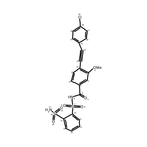 COc1cc(C(=O)NS(=O)(=O)c2ccccc2S(N)(=O)=O)ccc1C#Cc1ccc(Cl)cc1